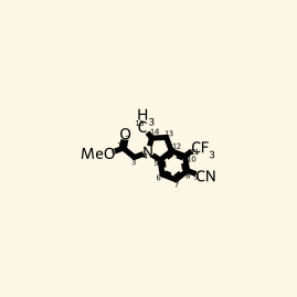 COC(=O)CN1c2ccc(C#N)c(C(F)(F)F)c2CC1C